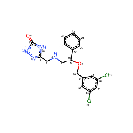 O=c1[nH]nc(CNC[C@@H](OCc2cc(Cl)cc(Cl)c2)c2ccccc2)[nH]1